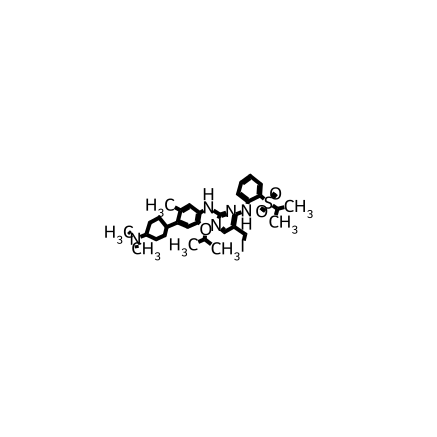 Cc1cc(Nc2ncc(CI)c(Nc3ccccc3S(=O)(=O)C(C)C)n2)c(OC(C)C)cc1C1CCC(N(C)C)CC1